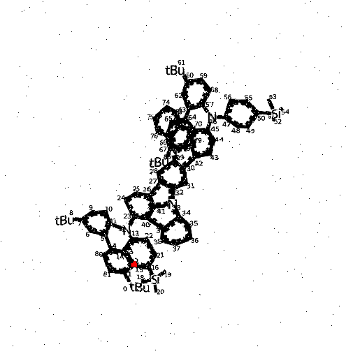 CC(C)(C)c1ccc(-c2cc(C(C)(C)C)ccc2N(c2ccc([Si](C)(C)C)cc2)c2ccc3c4cc5c(cc4n4c6ccccc6c2c34)c2ccc(N(c3ccc([Si](C)(C)C)cc3)c3ccc(C(C)(C)C)cc3-c3ccc(C(C)(C)C)cc3)c3c4ccccc4n5c23)cc1